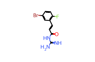 N=C(N)NC(=O)/C=C/c1cc(Br)ccc1F